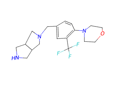 FC(F)(F)c1cc(CN2CC3CNCC3C2)ccc1N1CCOCC1